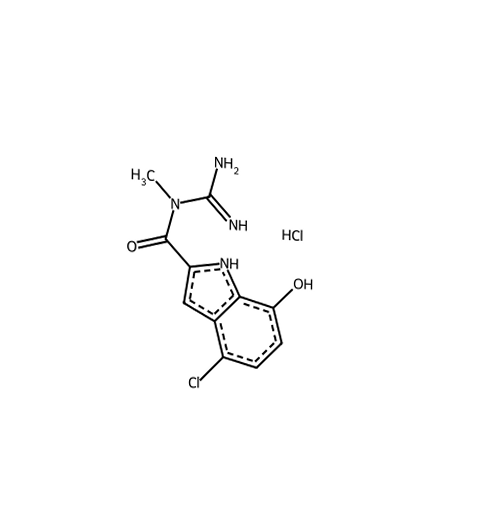 CN(C(=N)N)C(=O)c1cc2c(Cl)ccc(O)c2[nH]1.Cl